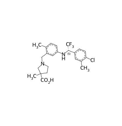 Cc1cc([C@H](Nc2ccc(C)c(CN3CCC(C)(C(=O)O)C3)c2)C(F)(F)F)ccc1Cl